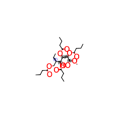 C/C=C(/COC(=O)CCC)[C@@H](OC(=O)CCC)[C@H](OC(=O)CCC)[C@@H](OC(=O)CCC)[C@H](O)OC